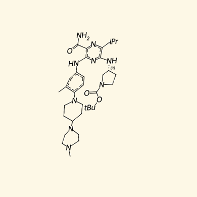 Cc1cc(Nc2nc(N[C@@H]3CCN(C(=O)OC(C)(C)C)C3)c(C(C)C)nc2C(N)=O)ccc1N1CCC(N2CCN(C)CC2)CC1